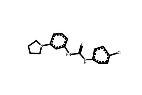 O=C(Nc1ccc(Cl)cc1)Nc1cccc(N2CCCC2)c1